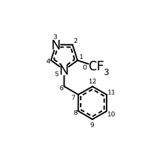 FC(F)(F)c1cncn1Cc1ccccc1